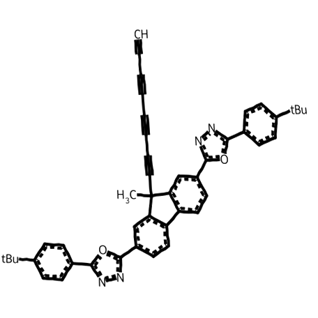 C#CC#CC#CC#CC1(C)c2cc(-c3nnc(-c4ccc(C(C)(C)C)cc4)o3)ccc2-c2ccc(-c3nnc(-c4ccc(C(C)(C)C)cc4)o3)cc21